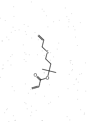 C=CCSCCC(C)(C)OC(=O)C=C